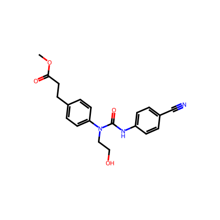 COC(=O)CCc1ccc(N(CCO)C(=O)Nc2ccc(C#N)cc2)cc1